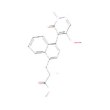 COC(=O)[C@@H](N)Cc1ccc(-c2c(OC)cnn(C)c2=O)c2ccccc12